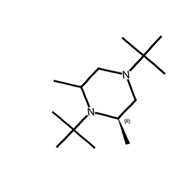 CC1CN(C(C)(C)C)C[C@@H](C)N1C(C)(C)C